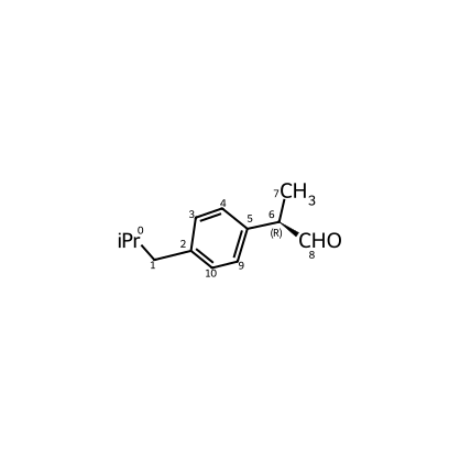 CC(C)Cc1ccc([C@@H](C)C=O)cc1